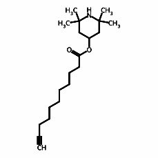 C#CCCCCCCCCC(=O)OC1CC(C)(C)NC(C)(C)C1